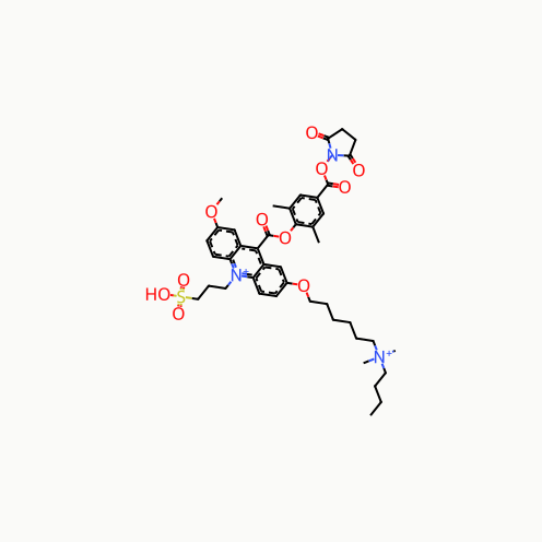 CCCC[N+](C)(C)CCCCCCOc1ccc2c(c1)c(C(=O)Oc1c(C)cc(C(=O)ON3C(=O)CCC3=O)cc1C)c1cc(OC)ccc1[n+]2CCCS(=O)(=O)O